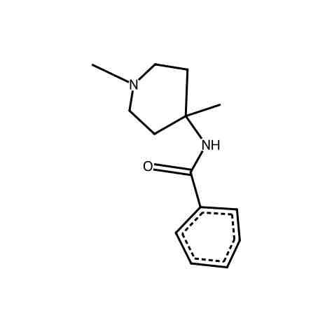 CN1CCC(C)(NC(=O)c2ccccc2)CC1